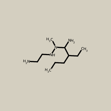 CCCC(CC)C(N)N(C)NCCN